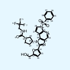 O=C(NCC(F)(F)F)N1CC[C@@H](n2c(-c3ccc(CO)o3)nc3cnc4c(ccn4S(=O)(=O)c4ccccc4)c32)C1